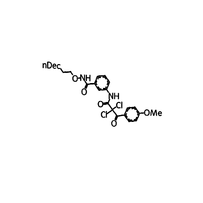 CCCCCCCCCCCCONC(=O)c1cccc(NC(=O)C(Cl)(Cl)C(=O)c2ccc(OC)cc2)c1